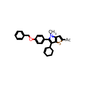 CC(=O)c1cc2c(s1)c(C1C=CCCC1)c(-c1ccc(OCc3ccccc3)cc1)n2C